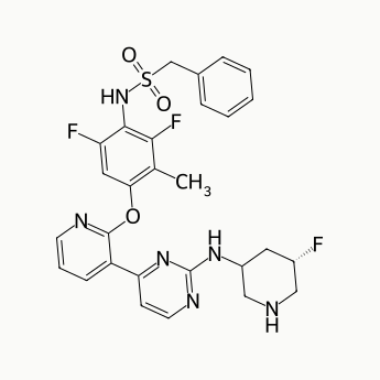 Cc1c(Oc2ncccc2-c2ccnc(NC3CNC[C@@H](F)C3)n2)cc(F)c(NS(=O)(=O)Cc2ccccc2)c1F